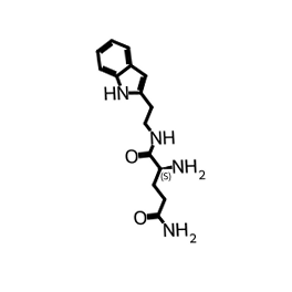 NC(=O)CC[C@H](N)C(=O)NCCc1cc2ccccc2[nH]1